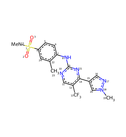 CNS(=O)(=O)c1ccc(Nc2ncc(C(F)(F)F)c(-c3cnn(C)c3)n2)c(C)c1